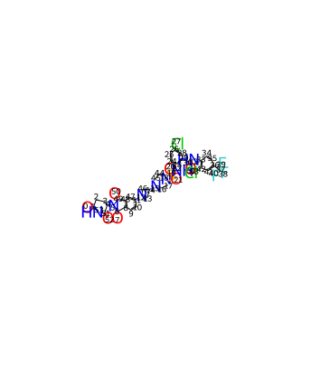 O=C1CCC(N2C(=O)c3ccc(N4CC(N5CCN(S(=O)(=O)Nc6ccc(Cl)cc6C(=O)Nc6ccc(C(F)(F)F)cc6Cl)CC5)C4)cc3C2=O)C(=O)N1